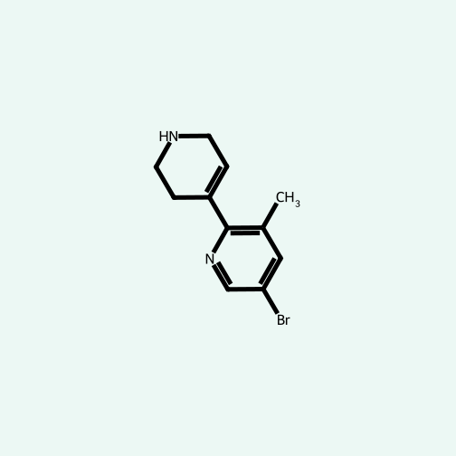 Cc1cc(Br)cnc1C1=CCNCC1